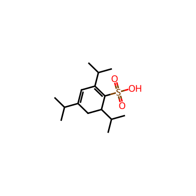 CC(C)C1=CC(C(C)C)=C(S(=O)(=O)O)C(C(C)C)C1